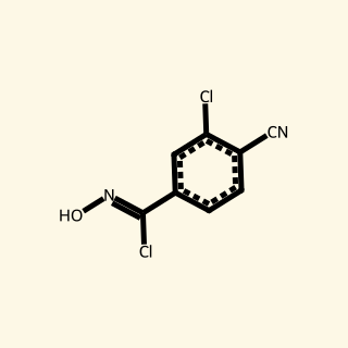 N#Cc1ccc(C(Cl)=NO)cc1Cl